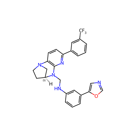 FC(F)(F)c1cccc(-c2ccc3c(n2)N(CNc2cccc(-c4cnco4)c2)[C@H]2CCN3C2)c1